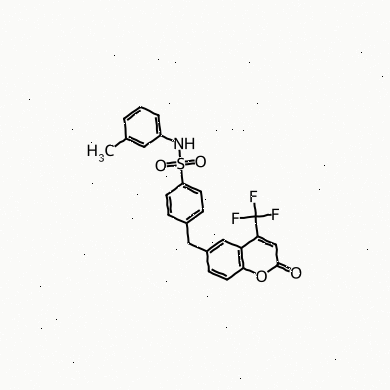 Cc1cccc(NS(=O)(=O)c2ccc(Cc3ccc4oc(=O)cc(C(F)(F)F)c4c3)cc2)c1